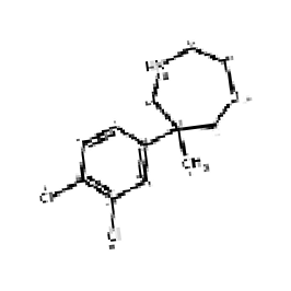 CC1(c2ccc(Cl)c(Cl)c2)CNCCOC1